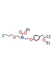 CCOC(Cc1ccc(OCCN(CCOCCCC(F)(F)F)C(=O)OC(C)C)cc1)C(=O)O